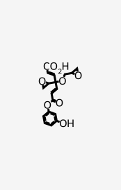 O=C(O)C=CC(C=CC(=O)Oc1cccc(O)c1)(OCC1CO1)C1CO1